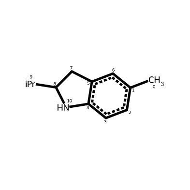 Cc1ccc2c(c1)CC(C(C)C)N2